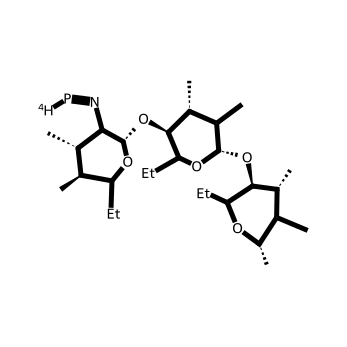 [4H]/P=N\C1[C@H](O[C@@H]2C(CC)O[C@@H](O[C@@H]3C(CC)O[C@@H](C)C(C)[C@H]3C)C(C)[C@H]2C)OC(CC)[C@@H](C)[C@@H]1C